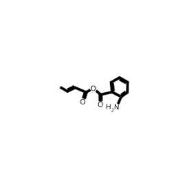 CC=CC(=O)OC(=O)c1ccccc1N